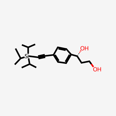 CC(C)[Si](C#Cc1ccc([C@H](O)CCO)cc1)(C(C)C)C(C)C